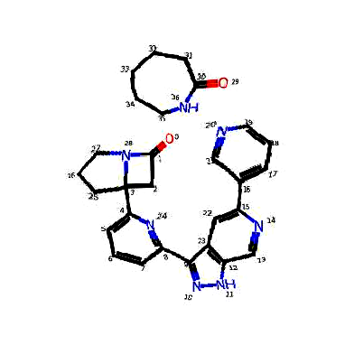 O=C1CC2(c3cccc(-c4n[nH]c5cnc(-c6cccnc6)cc45)n3)CCCN12.O=C1CCCCCN1